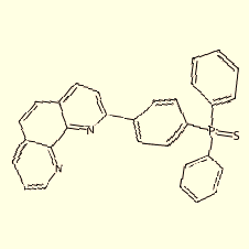 S=P(c1ccccc1)(c1ccccc1)c1ccc(-c2ccc3ccc4cccnc4c3n2)cc1